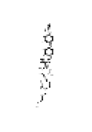 CCCCC[C@H]1CC[C@H]([C@H]2CC[C@H](C(=O)Oc3ccc(-c4ccc(C#N)cc4)cc3)CC2)CC1